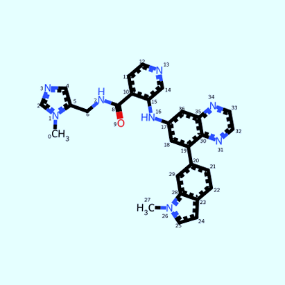 Cn1cncc1CNC(=O)c1ccncc1Nc1cc(-c2ccc3ccn(C)c3c2)c2nccnc2c1